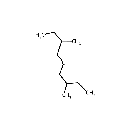 CCC(C)COCC(C)CC